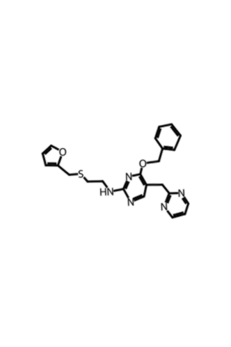 c1ccc(COc2nc(NCCSCc3ccco3)ncc2Cc2ncccn2)cc1